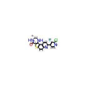 C[C@@H]1CNc2c(sc3ccc4nc(-c5ccnc(Cl)c5F)ccc4c23)C(=O)N1